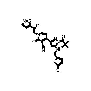 CC(C)(C)C(=O)n1nc(-c2ccn(CC(=O)c3ccns3)c(=O)c2C#N)cc1NCc1ccc(Cl)s1